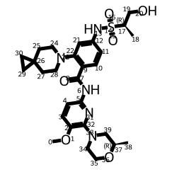 COc1ccc(NC(=O)c2ccc(NS(=O)(=O)[C@H](C)CO)cc2N2CCC3(CC2)CC3)nc1N1CCO[C@H](C)C1